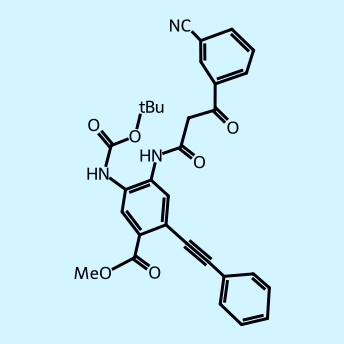 COC(=O)c1cc(NC(=O)OC(C)(C)C)c(NC(=O)CC(=O)c2cccc(C#N)c2)cc1C#Cc1ccccc1